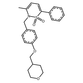 CC1=CC=C(c2ccccc2)S(=O)(=O)N1Cc1ccc(OCC2CCOCC2)cc1